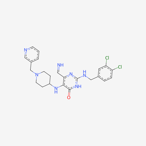 N=Cc1nc(NCc2ccc(Cl)c(Cl)c2)[nH]c(=O)c1NC1CCN(Cc2cccnc2)CC1